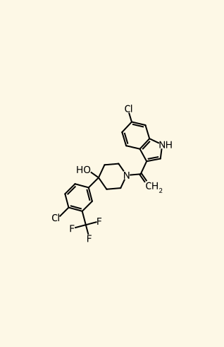 C=C(c1c[nH]c2cc(Cl)ccc12)N1CCC(O)(c2ccc(Cl)c(C(F)(F)F)c2)CC1